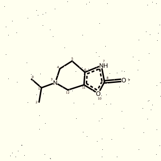 CC(C)N1CCc2[nH]c(=O)oc2C1